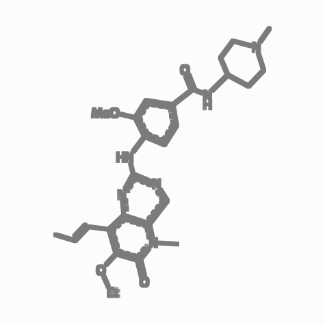 CC=Cc1c(OCC)c(=O)n(C)c2cnc(Nc3ccc(C(=O)NC4CCN(C)CC4)cc3OC)nc12